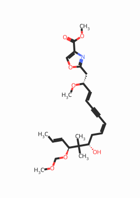 C/C=C/[C@H](OCOC)C(C)(C)[C@@H](O)C/C=C\C#C/C=C/[C@@H](Cc1nc(C(=O)OC)co1)OC